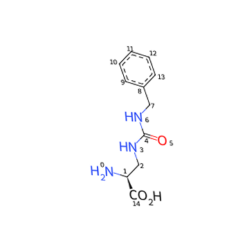 N[C@@H](CNC(=O)NCc1ccccc1)C(=O)O